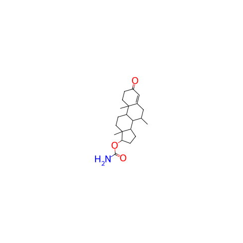 CC1CC2=CC(=O)CCC2(C)C2CCC3(C)C(OC(N)=O)CCC3C12